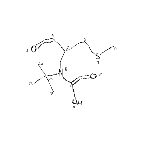 CSCC(C=O)N(C(=O)O)C(C)(C)C